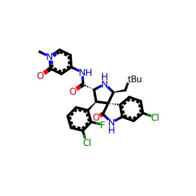 Cn1ccc(NC(=O)[C@@H]2N[C@@H](CC(C)(C)C)[C@@]3(C(=O)Nc4cc(Cl)ccc43)[C@H]2c2cccc(Cl)c2F)cc1=O